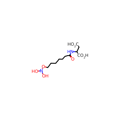 O=C(O)CC(NC(=O)CCCCCCON(O)O)C(=O)O